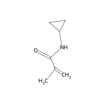 C=C(C)C(=O)NC1CC1